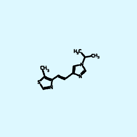 Cc1scnc1/C=C/c1cn(C(C)C)cn1